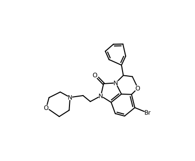 O=c1n(CCN2CCOCC2)c2ccc(Br)c3c2n1C(c1ccccc1)CO3